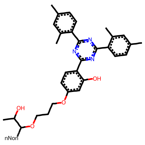 CCCCCCCCCC(OCCCOc1ccc(-c2nc(-c3ccc(C)cc3C)nc(-c3ccc(C)cc3C)n2)c(O)c1)C(C)O